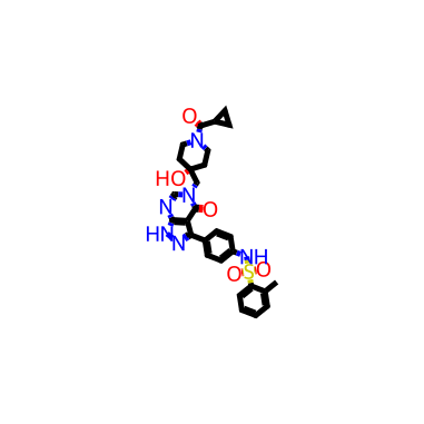 Cc1ccccc1S(=O)(=O)Nc1ccc(-c2n[nH]c3ncn(CC4(O)CCN(C(=O)C5CC5)CC4)c(=O)c23)cc1